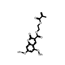 C=C(C)C(=O)OCCOC(=O)c1cc2c(OCCC)cc(OCCC)cc2oc1=O